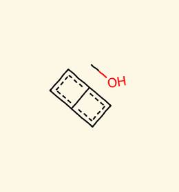 CO.c1cc2ccc1-2